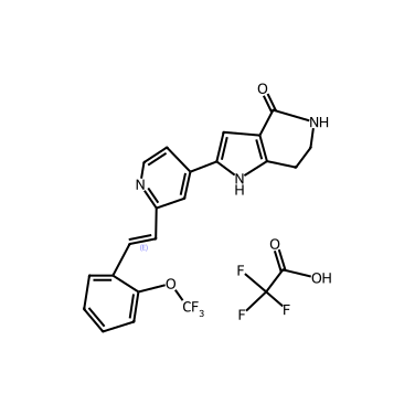 O=C(O)C(F)(F)F.O=C1NCCc2[nH]c(-c3ccnc(/C=C/c4ccccc4OC(F)(F)F)c3)cc21